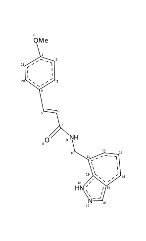 COc1ccc(C=CC(=O)NCc2cccc3cn[nH]c23)cc1